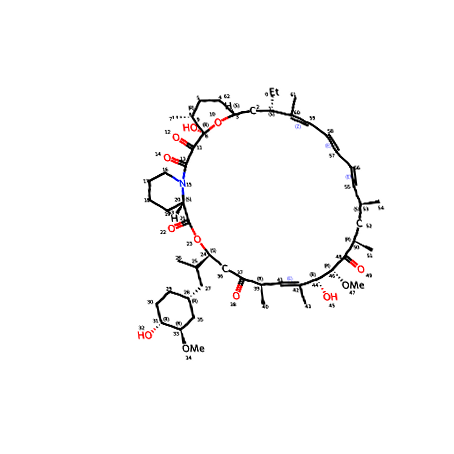 CC[C@H]1C[C@@H]2CC[C@@H](C)[C@@](O)(O2)C(=O)C(=O)N2CCCC[C@H]2C(=O)O[C@H](C(C)C[C@H]2CC[C@@H](O)[C@H](OC)C2)CC(=O)[C@H](C)/C=C(\C)[C@@H](O)[C@@H](OC)C(=O)[C@H](C)C[C@H](C)/C=C/C=C/C=C\1C